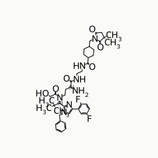 CC1(C)CC(=O)N(CC2CCC(C(=O)NCCNC(=O)[C@@H](N)CCN(C(=O)CO)[C@@H](c3nc(-c4cc(F)ccc4F)cn3Cc3ccccc3)C(C)(C)C)CC2)C1=O